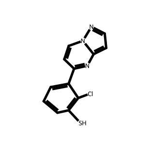 Sc1cccc(-c2ccn3nccc3n2)c1Cl